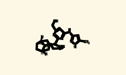 Cc1cc(Nc2cc(CO)nc(N(C)[C@H]3C[C@H]4CC[C@@H](C3)N4CCC#N)n2)n[nH]1